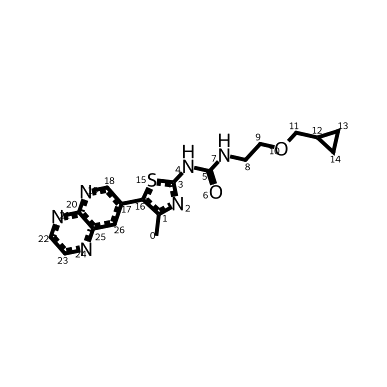 Cc1nc(NC(=O)NCCOCC2CC2)sc1-c1cnc2nccnc2c1